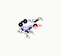 CCCCC(C)SC(CC(=O)O)C(=O)NCCC(=O)N[C@H](C(=O)N[C@@H](C)C(=O)Nc1cccc(Cc2ccccc2)c1)C(C)C